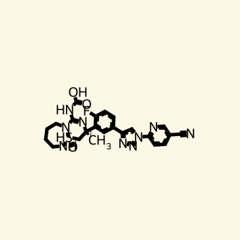 C[C@@]1(c2cc(-c3cn(-c4ccc(C#N)cn4)nn3)ccc2F)C[SH]2(=O)NCCCCN2C(NC(=O)O)=N1